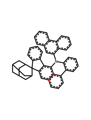 c1ccc(-c2ccccc2N(c2cccc3c2-c2ccccc2C32C3CC4CC(C3)CC2C4)c2cc3ccccc3c3ccccc23)cc1